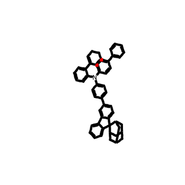 C1=CC(c2ccccc2N(c2ccc(-c3ccccc3)cc2)c2ccc(-c3ccc4c(c3)-c3ccccc3C43C4CC5CC(C4)CC3C5)cc2)=CCC1